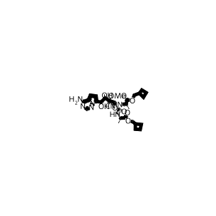 CO[C@](C#N)(COP(=O)(N[C@@H](C)C(=O)OCC1CCC1)N[C@@H](C)C(=O)OCC1CCC1)[C@@H](O)[C@@H](O)c1ccc2c(N)ncnn12